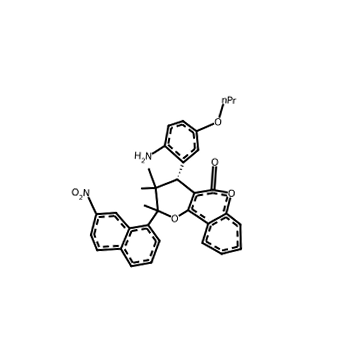 CCCOc1ccc(N)c([C@@H]2c3c(c4ccccc4oc3=O)OC(C)(c3cccc4ccc([N+](=O)[O-])cc34)C2(C)C)c1